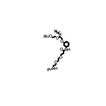 CC(C)COCCOC(COc1cccc(NC(=O)CCOCCOCCNC(C)C)c1)N=[N+]=[N-]